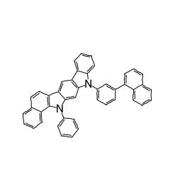 c1ccc(-n2c3cc4c(cc3c3ccc5ccccc5c32)c2ccccc2n4-c2cccc(-c3cccc4ccccc34)c2)cc1